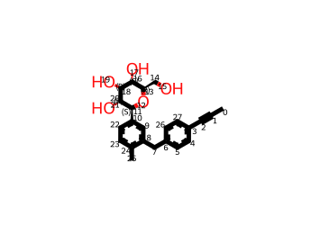 CC#Cc1ccc(Cc2cc([C@@H]3O[C@H](CO)[C@@H](O)[C@H](O)[C@H]3O)ccc2C)cc1